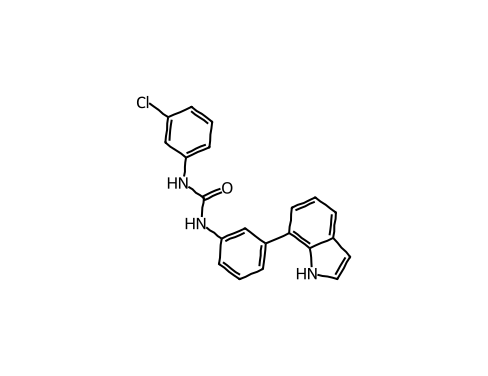 O=C(Nc1cccc(Cl)c1)Nc1cccc(-c2cccc3cc[nH]c23)c1